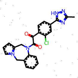 Cc1n[nH]c(-c2ccc(C(=O)C(=O)N3Cc4cccn4Cc4ccccc43)c(Cl)c2)n1